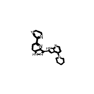 c1cnc(-c2ccc3[nH]nc(-c4cc5c(N6CCCCC6)ccnc5[nH]4)c3n2)cn1